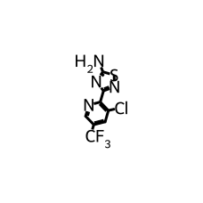 Nc1nc(-c2ncc(C(F)(F)F)cc2Cl)ns1